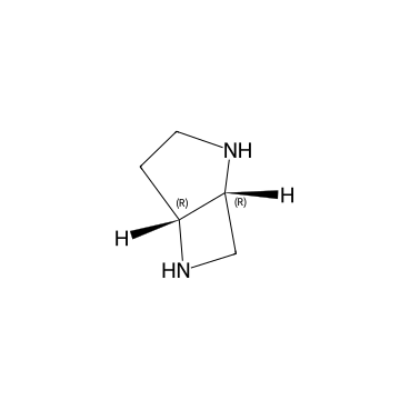 C1C[C@H]2NC[C@H]2N1